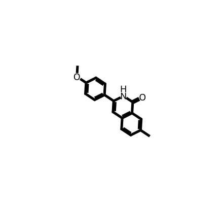 COc1ccc(-c2cc3ccc(C)cc3c(=O)[nH]2)cc1